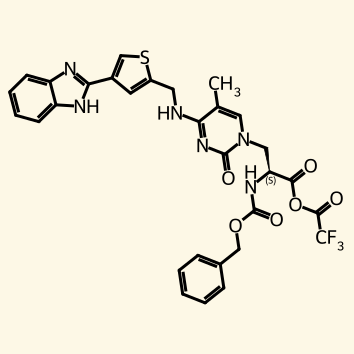 Cc1cn(C[C@H](NC(=O)OCc2ccccc2)C(=O)OC(=O)C(F)(F)F)c(=O)nc1NCc1cc(-c2nc3ccccc3[nH]2)cs1